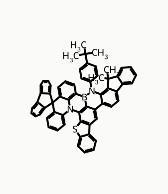 CC(C)(C)c1ccc(N2B3c4cccc5c4N(c4ccccc4C54c5ccccc5-c5ccccc54)c4c3c(cc3c4sc4ccccc43)-c3ccc4c(c32)C(C)(C)c2ccccc2-4)cc1